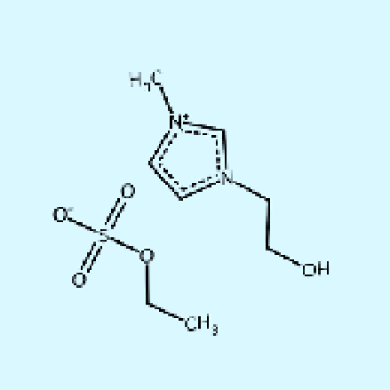 CCOS(=O)(=O)[O-].C[n+]1ccn(CCO)c1